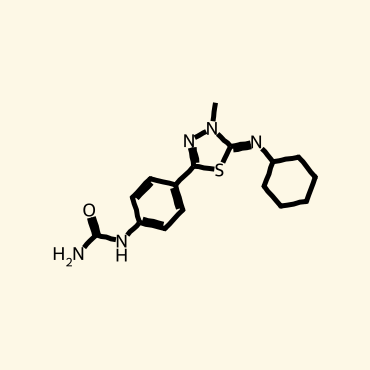 Cn1nc(-c2ccc(NC(N)=O)cc2)sc1=NC1CCCCC1